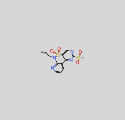 C=CCN1c2ncccc2-c2nc(S(C)(=O)=O)ncc2S1(=O)=O